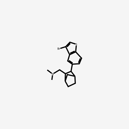 CN(C)CC1C2CCC(C2)C1c1ccc2scc(Br)c2c1